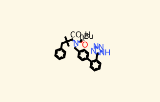 CCCCC(=O)N(Cc1ccc(-c2ccccc2-c2nnn[nH]2)cc1)[C@H](C(=O)O)C(C)(C)Cc1ccccc1